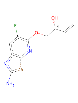 C=C[C@@H](O)COc1nc2sc(N)nc2cc1F